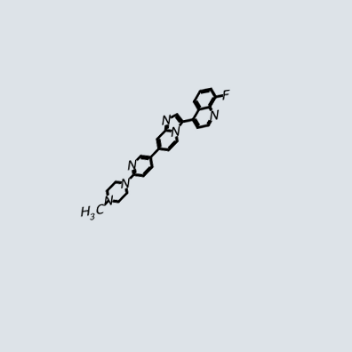 CN1CCN(c2ccc(-c3ccn4c(-c5ccnc6c(F)cccc56)cnc4c3)cn2)CC1